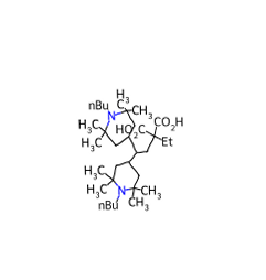 CCCCN1C(C)(C)CC(C(CC(CC)(C(=O)O)C(=O)O)C2CC(C)(C)N(CCCC)C(C)(C)C2)CC1(C)C